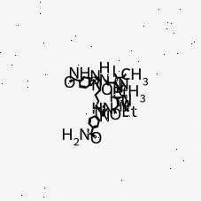 CCn1nc(C)c(I)c1C(=O)Nc1nc2cc(C(N)=O)ccc2n1CCCCn1c(NC(=O)c2c(I)c(C)nn2CC)nc2cc(C(N)=O)ccc21